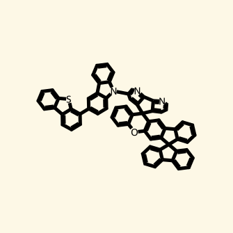 c1ccc2c(c1)Oc1cc3c(cc1C21c2cccnc2-c2ncc(-n4c5ccccc5c5cc(-c6cccc7c6sc6ccccc67)ccc54)cc21)-c1ccccc1C31c2ccccc2-c2ccccc21